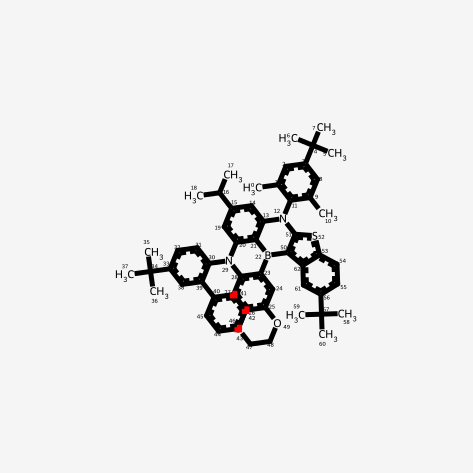 Cc1cc(C(C)(C)C)cc(C)c1N1c2cc(C(C)C)cc3c2B(c2cc4c(cc2N3c2ccc(C(C)(C)C)cc2-c2ccccc2)OCCO4)c2c1sc1ccc(C(C)(C)C)cc21